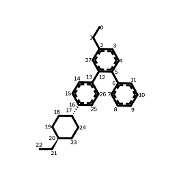 CCc1ccc(-c2ccccc2)c(-c2ccc([C@H]3CC[C@H](CC)CC3)cc2)c1